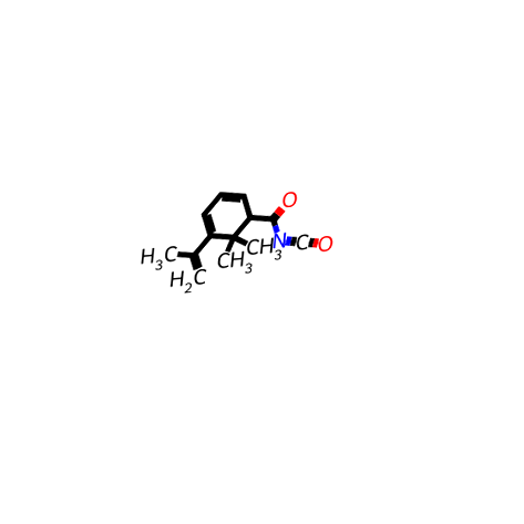 C=C(C)C1=CC=CC(C(=O)N=C=O)C1(C)C